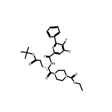 CCOC(=O)N1CCN(C(=O)[C@H](CCC(=O)OC(C)(C)C)NC(=O)c2cc(Cl)c(F)c(-c3ccccc3)n2)CC1